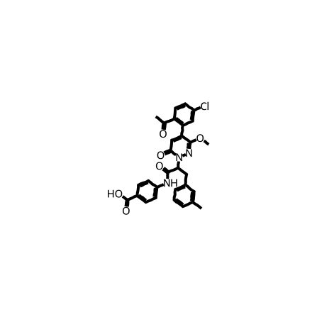 COc1nn(C(Cc2cccc(C)c2)C(=O)Nc2ccc(C(=O)O)cc2)c(=O)cc1-c1cc(Cl)ccc1C(C)=O